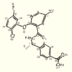 C[C@H](NC(=O)c1cc(Cl)cnc1Oc1cc(F)ccc1Cl)c1ccc(C(=O)O)cc1